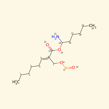 CCCCC/C=C(\COP=O)C(=O)OC(N)CCCCC